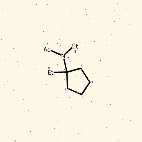 [CH2]CC1(N(CC)C(C)=O)CCCC1